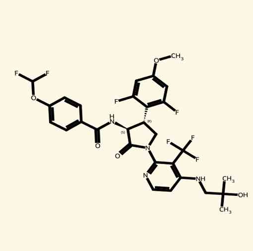 COc1cc(F)c([C@@H]2CN(c3nccc(NCC(C)(C)O)c3C(F)(F)F)C(=O)[C@H]2NC(=O)c2ccc(OC(F)F)cc2)c(F)c1